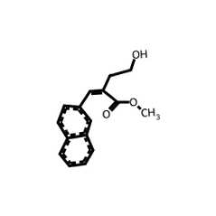 COC(=O)C(=Cc1ccc2ccccc2c1)CCO